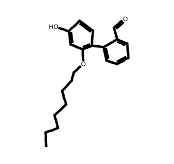 CCCCCCCCOc1cc(O)ccc1-c1ccccc1C=O